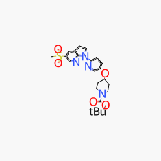 CC(C)(C)OC(=O)N1CCC(Oc2ccc(-n3ccc4cc(S(C)(=O)=O)cnc43)nc2)CC1